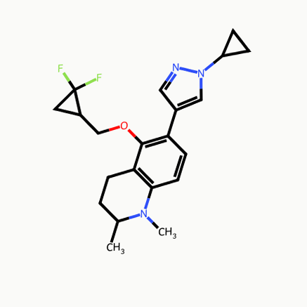 CC1CCc2c(ccc(-c3cnn(C4CC4)c3)c2OCC2CC2(F)F)N1C